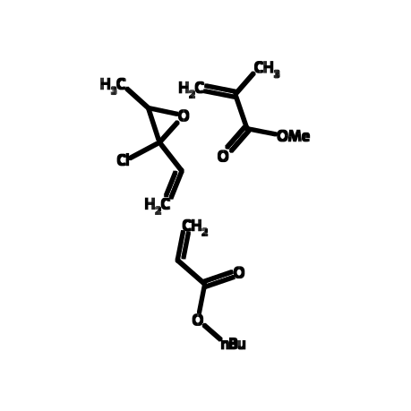 C=C(C)C(=O)OC.C=CC(=O)OCCCC.C=CC1(Cl)OC1C